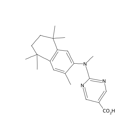 Cc1cc2c(cc1N(C)c1ncc(C(=O)O)cn1)C(C)(C)CCC2(C)C